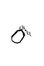 CCN.[CH]1CCCCC1